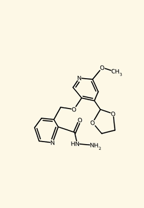 COc1cc(C2OCCO2)c(OCc2cccnc2C(=O)NN)cn1